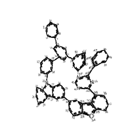 c1ccc(-c2cc(-c3ccccc3)cc(-c3cccc(-n4c5ccccc5c5cc(-c6ccc7oc8cccc(-c9ncnc(-c%10ccccc%10)n9)c8c7c6)ccc54)c3)c2)cc1